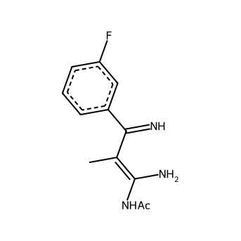 CC(=O)N/C(N)=C(\C)C(=N)c1cccc(F)c1